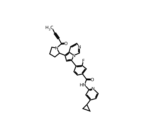 CC#CC(=O)N1CCCC1c1cc(-c2ccc(C(=O)Nc3cc(C4CC4)ccn3)cc2F)n2cnccc12